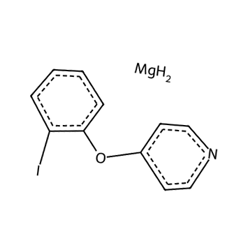 Ic1ccccc1Oc1ccncc1.[MgH2]